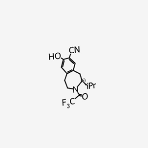 CC(C)[C@@H]1Cc2cc(C#N)c(O)cc2CCN1C(=O)C(F)(F)F